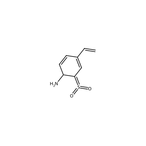 C=CC1=CC(=S(=O)=O)C(N)C=C1